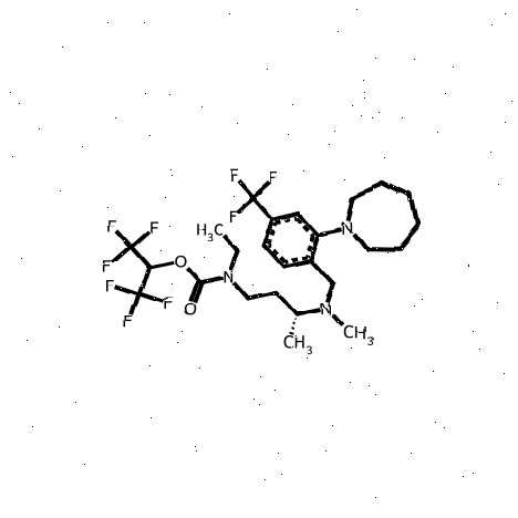 CCN(CC[C@@H](C)N(C)Cc1ccc(C(F)(F)F)cc1N1CCCCCC1)C(=O)OC(C(F)(F)F)C(F)(F)F